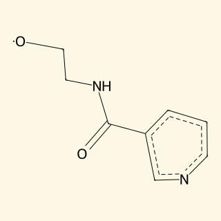 [O]CCNC(=O)c1cccnc1